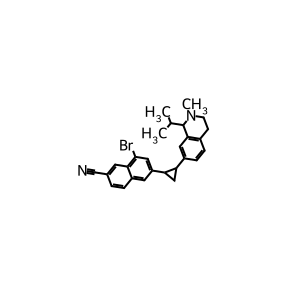 CC(C)C1c2cc(C3CC3c3cc(Br)c4cc(C#N)ccc4c3)ccc2CCN1C